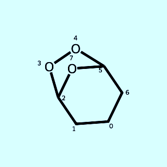 C1CC2OOC(C1)O2